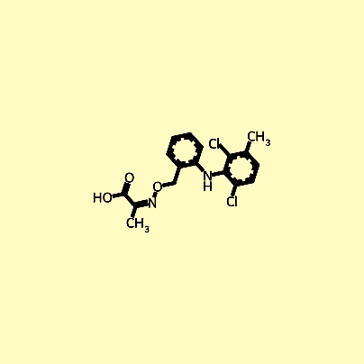 CC(=NOCc1ccccc1Nc1c(Cl)ccc(C)c1Cl)C(=O)O